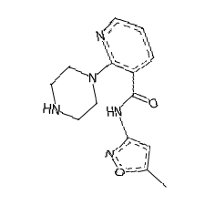 Cc1cc(NC(=O)c2cccnc2N2CCNCC2)no1